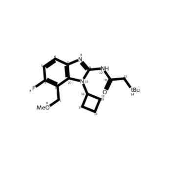 COCc1c(F)ccc2nc(NC(=O)CC(C)(C)C)n(C3CCC3)c12